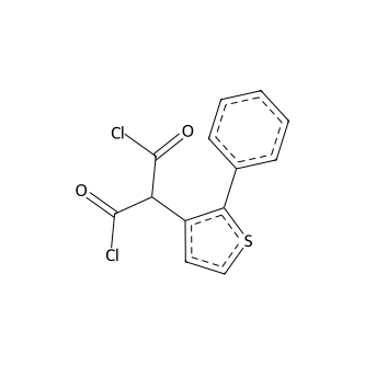 O=C(Cl)C(C(=O)Cl)c1ccsc1-c1ccccc1